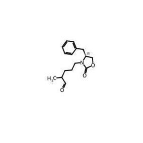 CC(C=O)CCCN1C(=O)OC[C@@H]1Cc1ccccc1